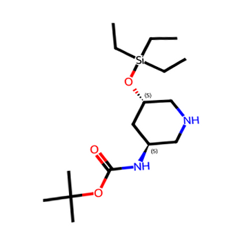 CC[Si](CC)(CC)O[C@@H]1CNC[C@@H](NC(=O)OC(C)(C)C)C1